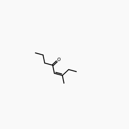 CCCC(=O)C=C(C)CC